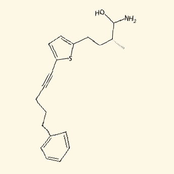 C[C@H](CCc1ccc(C#CCCCc2ccccc2)s1)C(N)O